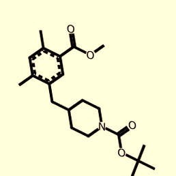 COC(=O)c1cc(CC2CCN(C(=O)OC(C)(C)C)CC2)c(C)cc1C